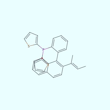 CC=C(C)c1ccc2ccccc2c1-c1ccccc1P(c1cccs1)c1cccs1